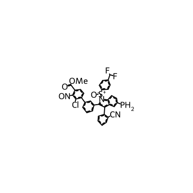 COC(=O)c1ccc(-c2cccc(-c3c(-c4ccccc4C#N)c4cc(P)ccc4n3[S+]([O-])c3ccc(C(F)F)cc3)c2)c(Cl)c1N=O